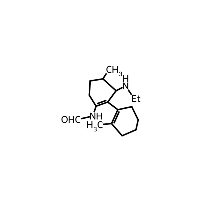 CCNC1C(C2=C(C)CCCC2)=C(NC=O)CCC1C